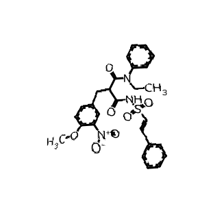 CCN(C(=O)C(Cc1ccc(OC)c([N+](=O)[O-])c1)C(=O)NS(=O)(=O)C=Cc1ccccc1)c1ccccc1